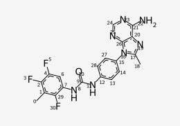 Cc1c(F)c(F)cc(NC(=O)Nc2ccc(-n3c(C)nc4c(N)ncnc43)cc2)c1F